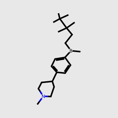 CB(CCC(C)(C)C(C)(C)C)c1ccc(C2CCN(C)CC2)cc1